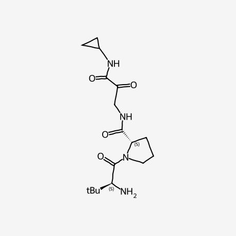 CC(C)(C)[C@H](N)C(=O)N1CCC[C@H]1C(=O)NCC(=O)C(=O)NC1CC1